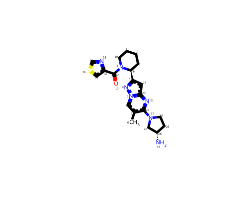 Cc1cn2nc([C@@H]3CCCCN3C(=O)c3cscn3)cc2nc1N1CC[C@H](N)C1